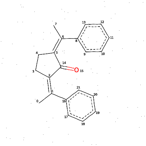 CC(=C1CCC(=C(C)c2ccccc2)C1=O)c1ccccc1